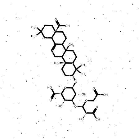 CC1(C)CC[C@]2(C(=O)O)CCC3C(=CCC4[C@@]3(C)CCC3C(C)(C)[C@@H](O[C@@H]5O[C@H](C(=O)O)[C@@H](O)[C@H](O[C@@H](OCC(=O)O)[C@@H](O)C(=O)O)[C@H]5O)CC[C@@]34C)C2C1